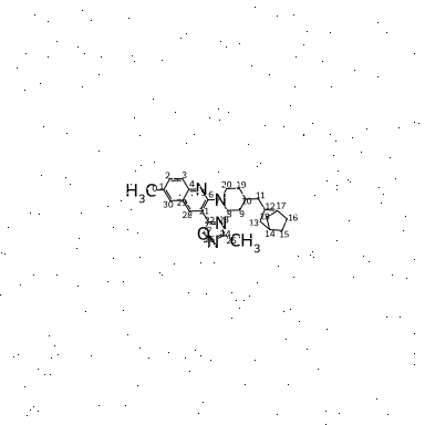 Cc1ccc2nc(N3CCC(CC4CC5CCC4C5)CC3)c(-c3nc(C)no3)cc2c1